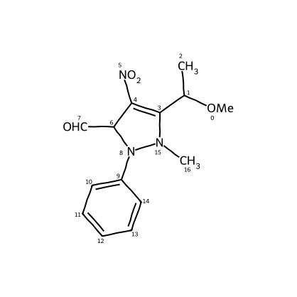 COC(C)C1=C([N+](=O)[O-])C(C=O)N(c2ccccc2)N1C